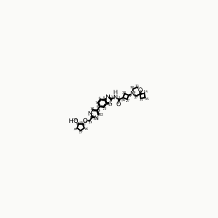 O=C(Nc1nc2ccc(-c3cnc(CO[C@H]4CCC[C@@H]4O)nc3)cc2s1)C1CC(N2CCOC3(CCC3)C2)C1